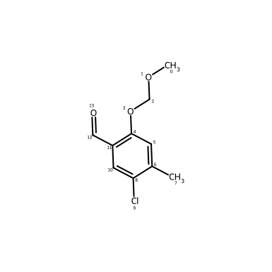 COCOc1cc(C)c(Cl)cc1C=O